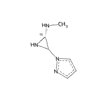 CN[C@H]1NC1n1cccn1